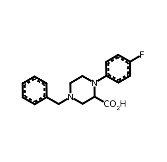 O=C(O)C1CN(Cc2ccccc2)CCN1c1ccc(F)cc1